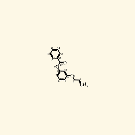 C=CCOc1cccc(OC(=O)c2ccccc2)c1